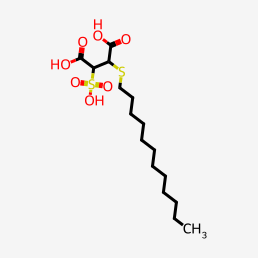 CCCCCCCCCCCCSC(C(=O)O)C(C(=O)O)S(=O)(=O)O